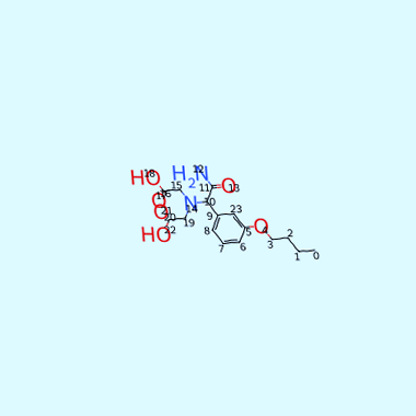 CCCCOc1cccc(C(C(N)=O)N(CC(=O)O)CC(=O)O)c1